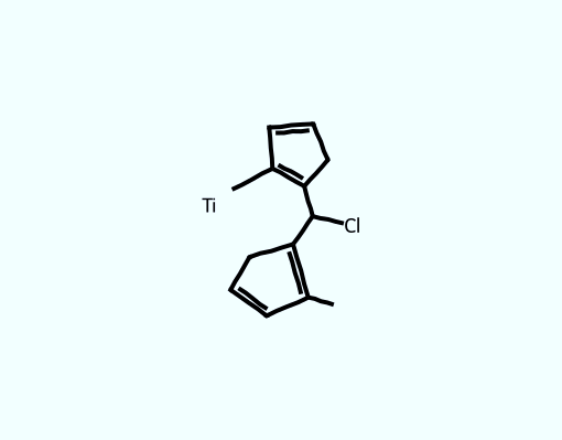 CC1=C(C(Cl)C2=C(C)C=CC2)CC=C1.[Ti]